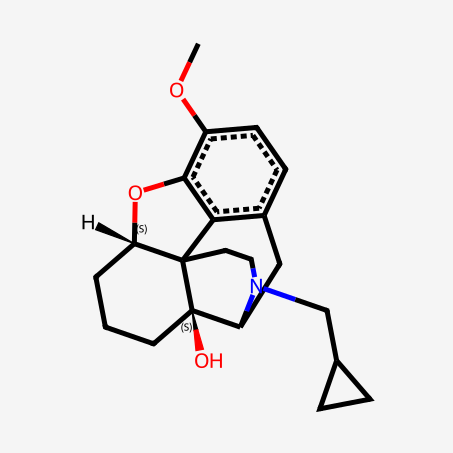 COc1ccc2c3c1O[C@H]1CCC[C@@]4(O)C(C2)N(CC2CC2)CCC314